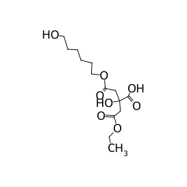 CCOC(=O)CC(O)(CC(=O)OCCCCCCO)C(=O)O